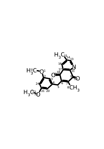 COc1cc(CC2=C(C)C(=O)c3ncc(C)cc3C2=O)cc(OC)c1